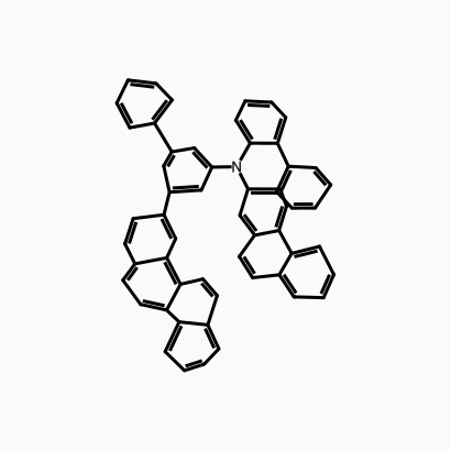 c1ccc(-c2cc(-c3ccc4ccc5c6ccccc6ccc5c4c3)cc(N(c3ccc4c(ccc5ccccc54)c3)c3ccccc3-c3ccccc3)c2)cc1